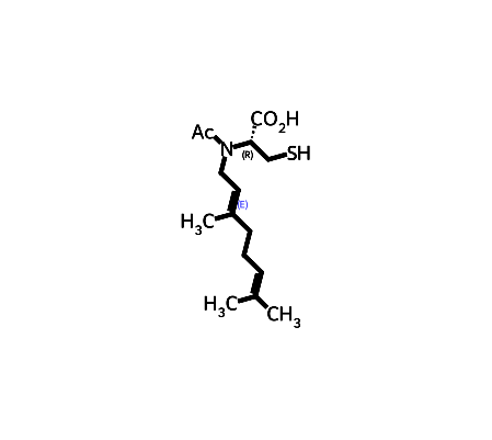 CC(=O)N(C/C=C(\C)CCC=C(C)C)[C@@H](CS)C(=O)O